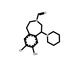 O=CN1CCc2cc(Cl)c(O)cc2C(N2CCCCC2)C1